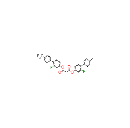 Cc1ccc(-c2ccc(OC(=O)CC(=O)Oc3ccc(-c4ccc(C(F)(F)F)cc4)c(F)c3)cc2F)cc1